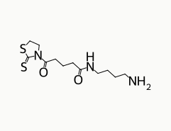 NCCCCNC(=O)CCCC(=O)N1CCSC1=S